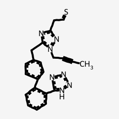 CC#CCn1nc(CC=S)nc1Cc1ccc(-c2ccccc2-c2nnn[nH]2)cc1